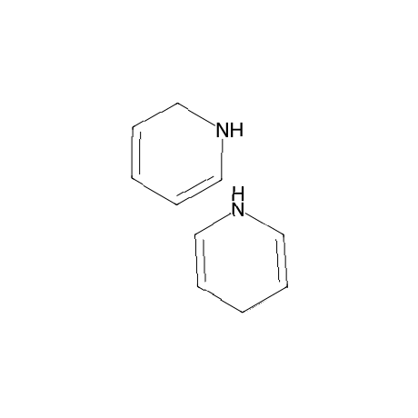 C1=CCNC=C1.C1=CNC=CC1